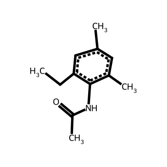 CCc1cc(C)cc(C)c1NC(C)=O